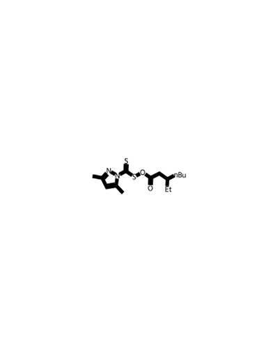 CCCCC(CC)CC(=O)OSC(=S)n1nc(C)cc1C